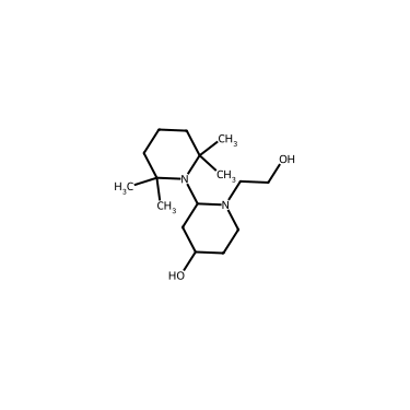 CC1(C)CCCC(C)(C)N1C1CC(O)CCN1CCO